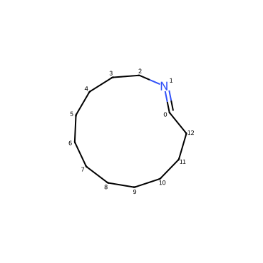 C1=N/CCCCCCCCCCC/1